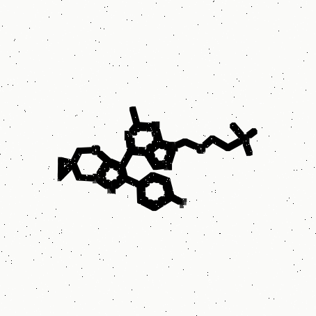 Cc1nc(-c2c(-c3ccc(F)cc3)nn3c2OCC2(CC2)C3)c2cnn(COCC[Si](C)(C)C)c2n1